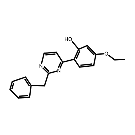 CCOc1ccc(-c2ccnc(Cc3ccccc3)n2)c(O)c1